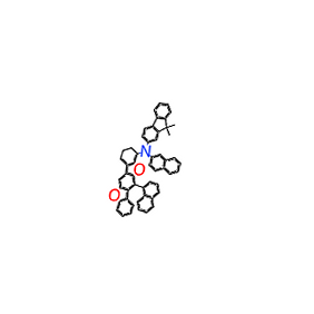 CC1(C)c2ccccc2-c2ccc(N(C3=c4oc5c(-c6cccc7ccccc67)c6c(cc5c4=CCC3)oc3ccccc36)c3ccc4ccccc4c3)cc21